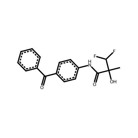 CC(O)(C(=O)Nc1ccc(C(=O)c2ccccc2)cc1)C(F)F